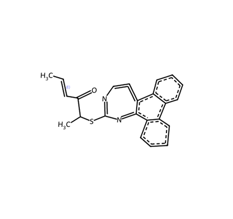 C/C=C/C(=O)C(C)SC1=NC=C=c2c(c3ccccc3c3ccccc23)=N1